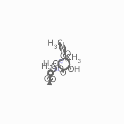 C/C(=C\c1cccc(S(=O)(=O)C2CC2)c1)[C@H]1OC(=O)C[C@H](O)CC[C@H](C)[C@@H](OC(=O)N2CCN(C)CC2)/C=C/[C@@H]1C